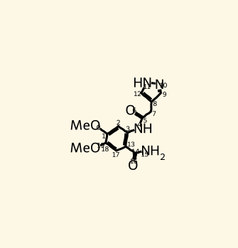 COc1cc(NC(=O)Cc2cn[nH]c2)c(C(N)=O)cc1OC